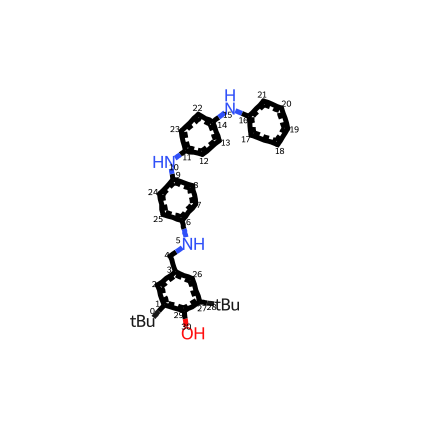 CC(C)(C)c1cc(CNc2ccc(Nc3ccc(Nc4ccccc4)cc3)cc2)cc(C(C)(C)C)c1O